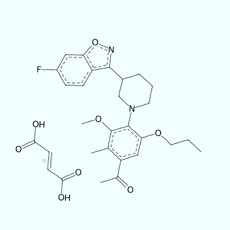 CCCOc1cc(C(C)=O)c(C)c(OC)c1N1CCCC(c2noc3cc(F)ccc23)C1.O=C(O)/C=C/C(=O)O